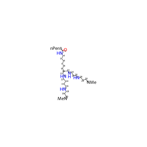 CCCCCC(=O)NCCCCCCC(CNCCCCNCCCNC)CNCCCNCCCNC